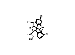 CC(C)(C)CC1NC(C(=O)OC(C)(C)C)C(c2cccc(Cl)c2F)C12C(=O)Nc1cc(Br)ccc12